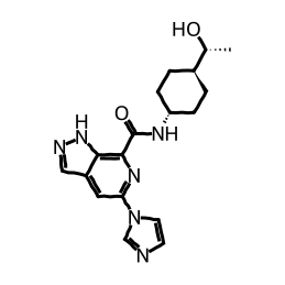 C[C@@H](O)[C@H]1CC[C@H](NC(=O)c2nc(-n3ccnc3)cc3cn[nH]c23)CC1